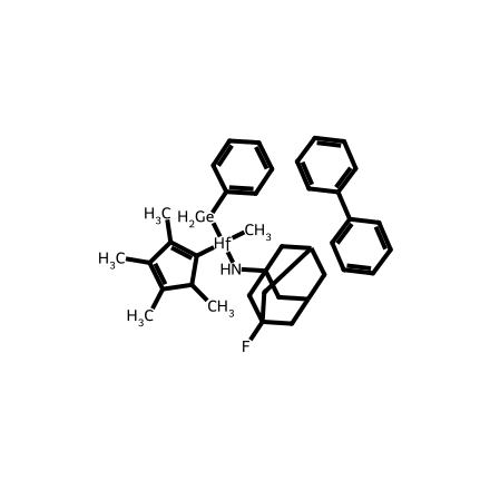 CC1=C(C)C(C)[C]([Hf]([CH3])([NH]C23CC4CC(CC(F)(C4)C2)C3)[GeH2][c]2ccccc2)=C1C.c1ccc(-c2ccccc2)cc1